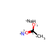 CC(=O)[O-].[N+].[NaH]